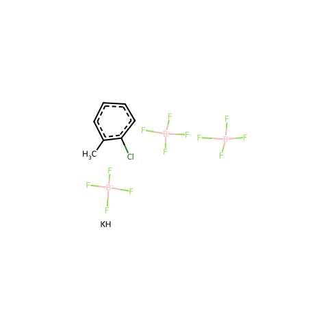 Cc1ccccc1Cl.F[B-](F)(F)F.F[B-](F)(F)F.F[B-](F)(F)F.[KH]